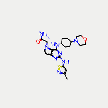 Cc1cc(Nc2nc(N[C@H]3CC[C@H](N4CCOCC4)CC3)c3c(ccn3CC(N)=O)n2)sn1